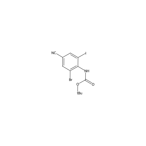 CC(C)(C)OC(=O)Nc1c(Br)cc(C#N)cc1I